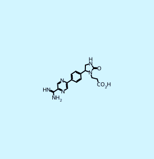 N=C(N)c1cnc(-c2ccc(C3CNC(=O)N3CCC(=O)O)cc2)cn1